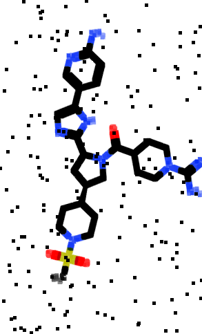 CS(=O)(=O)N1CCC([C@H]2CC(c3ncc(-c4ccc(N)nc4)[nH]3)N(C(=O)C3CCN(C(=N)N)CC3)C2)CC1